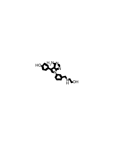 Nc1ncnc2c1c(-c1ccc(O)cc1)cn2-c1cccc(CNCCO)c1